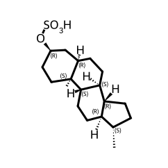 C[C@H]1CC[C@@H]2[C@@H]1CC[C@H]1[C@H]2CC[C@@H]2C[C@H](OS(=O)(=O)O)CC[C@@]21C